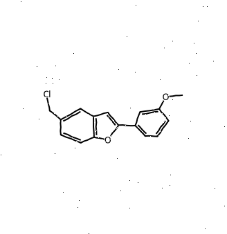 COc1cccc(-c2cc3cc(CCl)ccc3o2)c1